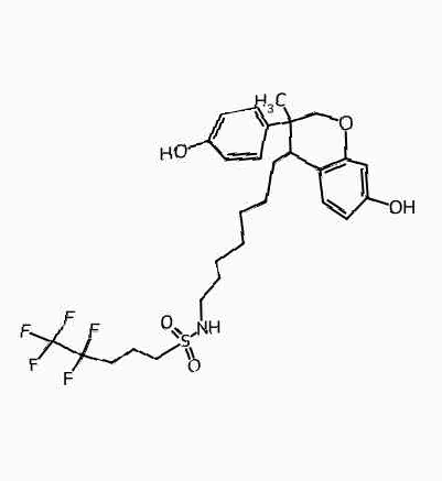 CC1(c2ccc(O)cc2)COc2cc(O)ccc2C1CCCCCCCNS(=O)(=O)CCCC(F)(F)C(F)(F)F